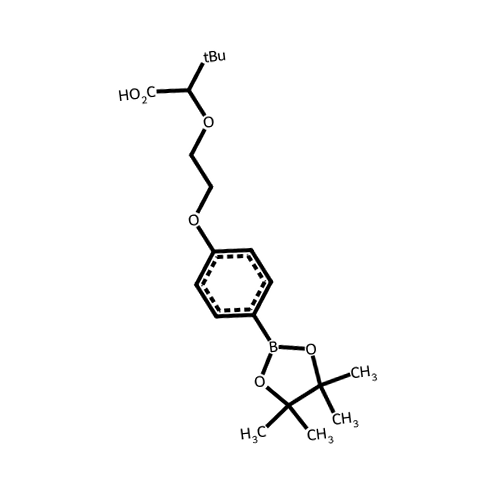 CC(C)(C)C(OCCOc1ccc(B2OC(C)(C)C(C)(C)O2)cc1)C(=O)O